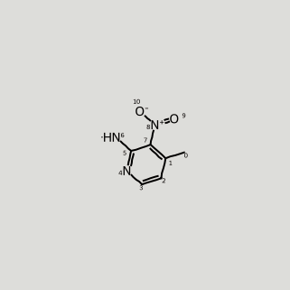 Cc1ccnc([NH])c1[N+](=O)[O-]